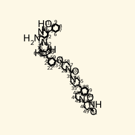 Nc1nnc(-c2ccccc2O)cc1N1CC[C@H]2CC3(c4cccc(OC5CCN(C(=O)CN6CCC(c7cccc8c7CCCN8C7CCC(=O)NC7=O)CC6)CC5)c4)C[C@H](C1)C23